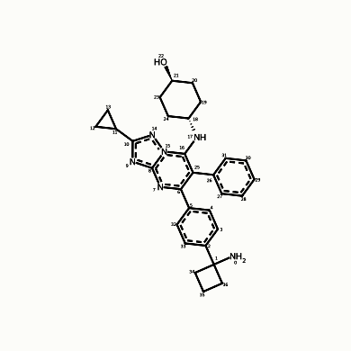 NC1(c2ccc(-c3nc4nc(C5CC5)nn4c(N[C@H]4CC[C@H](O)CC4)c3-c3ccccc3)cc2)CCC1